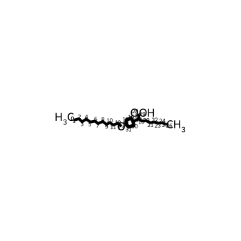 CCCCCCCCCCCCCOc1ccc(C(CCCCCCCC)C(=O)O)cc1